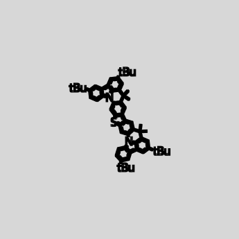 CC(C)(C)c1ccc2c(c1)c1cc(C(C)(C)C)cc3c1n2-c1cc2sc4cc5c(cc4c2cc1C3(C)C)C(C)(C)c1cc(C(C)(C)C)cc2c3cc(C(C)(C)C)ccc3n-5c12